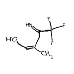 C/C(=C/O)C(=N)C(F)(F)F